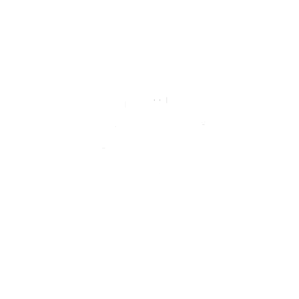 Oc1c(Br)cc(F)cc1C(F)(F)F